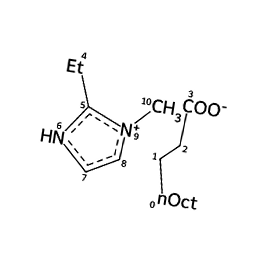 CCCCCCCCCCC(=O)[O-].CCc1[nH]cc[n+]1C